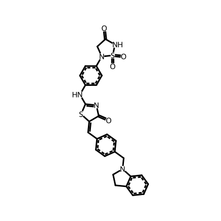 O=C1CN(c2ccc(NC3=NC(=O)C(=Cc4ccc(CN5CCc6ccccc65)cc4)S3)cc2)S(=O)(=O)N1